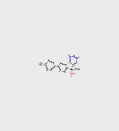 CC(C)(C)C(O)(c1ccc(-c2ccc(C#N)cc2)cc1)c1cncnc1